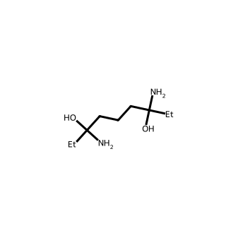 CCC(N)(O)CCCC(N)(O)CC